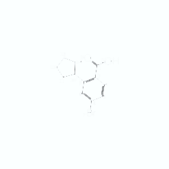 O=C(O)c1ccc(Br)cc1C1CCCC1